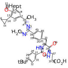 C=N/C(=N\C=C(/C)c1ccc(OCCCCCCC)c(C2CC2)c1)c1ccc(C[C@H](NC(=O)c2ccc(C(C)(C)C)cc2)C(=O)NCCC(=O)O)cc1